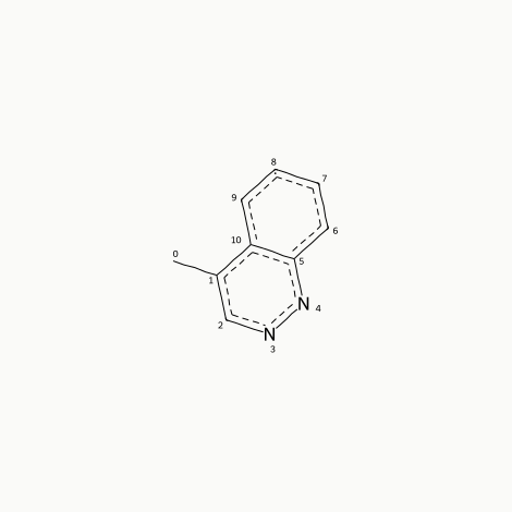 Cc1cnnc2cc[c]cc12